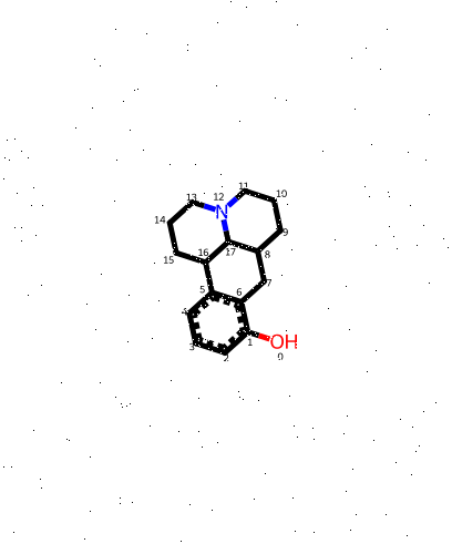 Oc1cccc2c1CC1CCCN3CCCC2C13